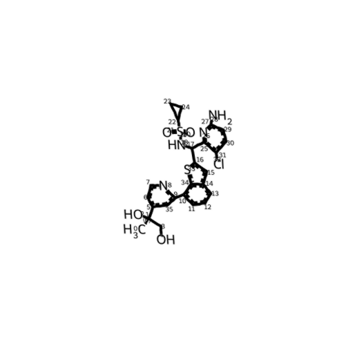 C[C@](O)(CO)c1ccnc(-c2cccc3cc(C(NS(=O)(=O)C4CC4)c4nc(N)ccc4Cl)sc23)c1